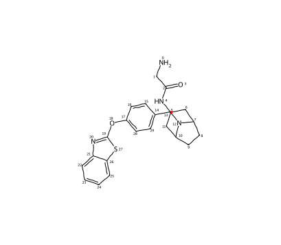 NCC(=O)NC1CC2CCC(C1)N2Cc1ccc(Oc2nc3ccccc3s2)cc1